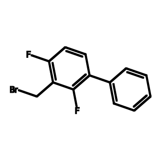 Fc1ccc(-c2ccccc2)c(F)c1CBr